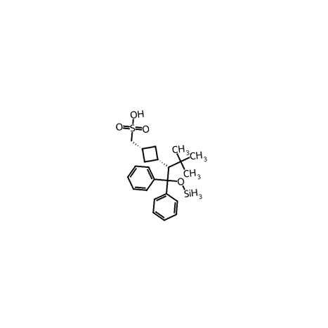 CC(C)(C)C([C@H]1C[C@@H](CS(=O)(=O)O)C1)C(O[SiH3])(c1ccccc1)c1ccccc1